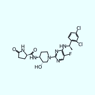 C[C@@H](Nc1nc(N2CC[C@H](NC(=O)[C@H]3CCC(=O)N3)[C@@H](O)C2)ncc1F)c1ccc(Cl)cc1Cl